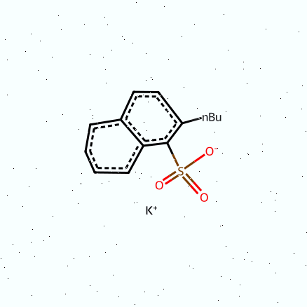 CCCCc1ccc2ccccc2c1S(=O)(=O)[O-].[K+]